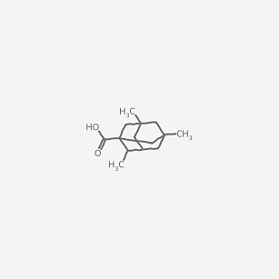 CC1C2CC3(C)CC(C)(C2)CC1(C(=O)O)C3